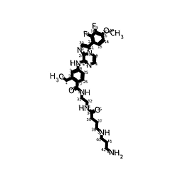 CCc1cc(Nc2nccn3c(-c4ccc(OC)c(F)c4F)cnc23)ccc1C(=O)NCCNC(=O)CCCNCCCN